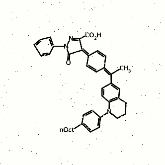 CCCCCCCCc1ccc(N2CCCc3cc(C(C)=c4ccc(=C5C(=O)N(c6ccccc6)N=C5C(=O)O)cc4)ccc32)cc1